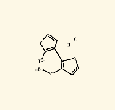 CCCCOc1ccsc1C1=[C]([Ti+2])CC=C1.[Cl-].[Cl-]